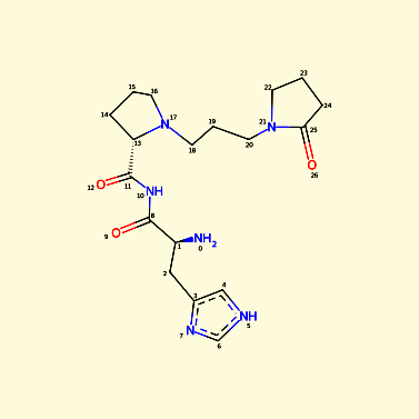 N[C@@H](Cc1c[nH]cn1)C(=O)NC(=O)[C@@H]1CCCN1CCCN1CCCC1=O